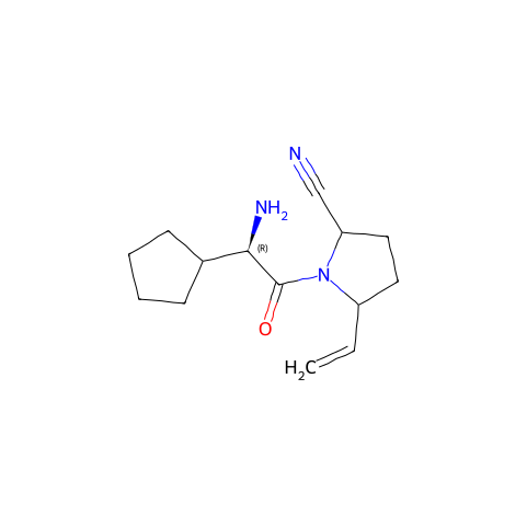 C=CC1CCC(C#N)N1C(=O)[C@H](N)C1CCCC1